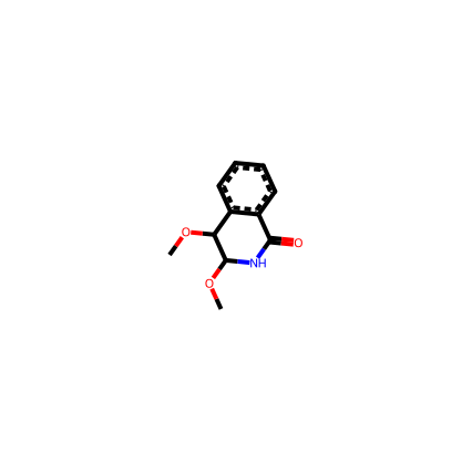 COC1NC(=O)c2ccccc2C1OC